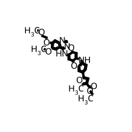 CCOC(=O)c1cc(-c2ccc(NC3=CC(=O)C(Nc4ncnc5cc(OCCOC)c(OC)cc45)=CC3=O)cc2)oc1C